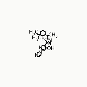 C=C(c1nnc(-c2cnc(-n3ccnc3)cc2O)s1)[C@@H]1CCC[C@](C)(CC)[C@H]1F